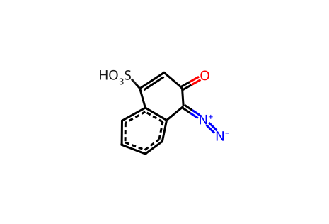 [N-]=[N+]=C1C(=O)C=C(S(=O)(=O)O)c2ccccc21